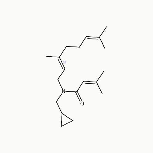 CC(C)=CCC/C(C)=C/CN(CC1CC1)C(=O)C=C(C)C